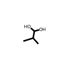 CC(C)[C](O)O